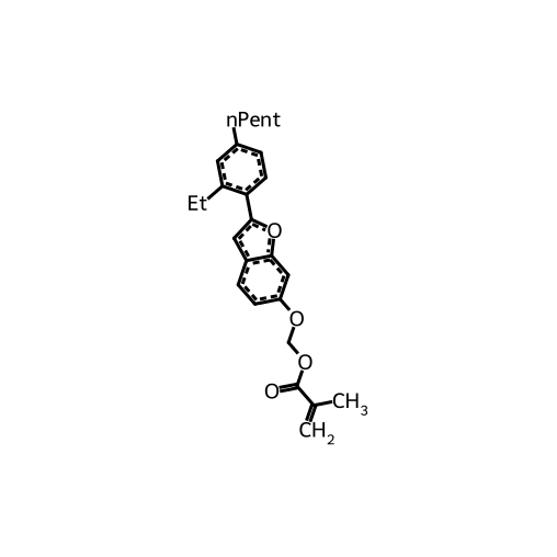 C=C(C)C(=O)OCOc1ccc2cc(-c3ccc(CCCCC)cc3CC)oc2c1